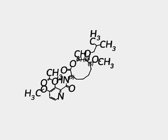 COc1ccnc(C(=O)N[C@H]2CCCC[C@H](OC)[C@@H](OCC(C)C)[C@H](C)OC2=O)c1OC(C)=O